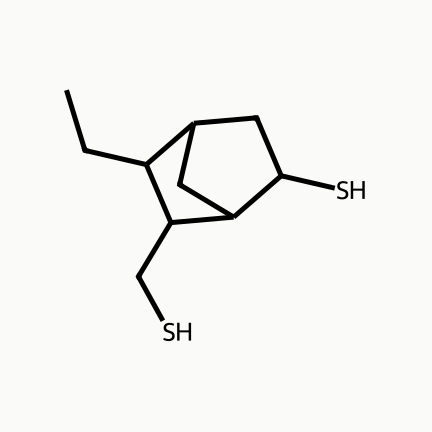 CCC1C2CC(S)C(C2)C1CS